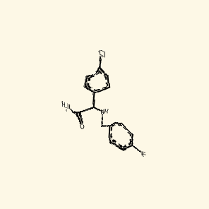 NC(=O)C(NCc1ccc(F)cc1)c1ccc(Cl)cc1